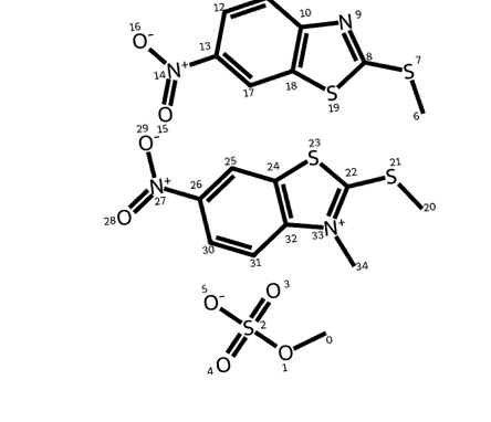 COS(=O)(=O)[O-].CSc1nc2ccc([N+](=O)[O-])cc2s1.CSc1sc2cc([N+](=O)[O-])ccc2[n+]1C